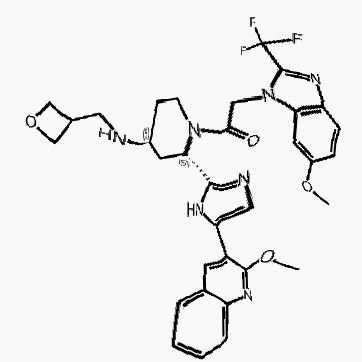 COc1ccc2nc(C(F)(F)F)n(CC(=O)N3CC[C@H](NCC4COC4)C[C@H]3c3ncc(-c4cc5ccccc5nc4OC)[nH]3)c2c1